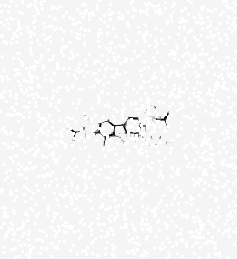 C=C(C)C(=O)Oc1ccc2c(sc3c(OC)c(OC(=O)C(=C)C)ccc32)c1C